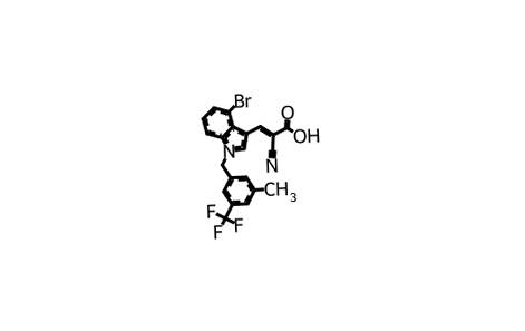 Cc1cc(Cn2cc(/C=C(\C#N)C(=O)O)c3c(Br)cccc32)cc(C(F)(F)F)c1